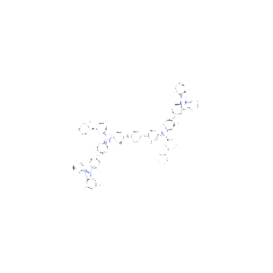 c1ccc(-c2cccc(N(c3ccc(-c4ccc(-c5ccc(N(c6ccc(-c7ccc8c(c7)c7ccccc7n8-c7ccccc7)cc6)c6cccc(-c7ccccc7)c6)cc5)cc4)cc3)c3ccc(-c4ccc5c(c4)c4ccccc4n5-c4ccccc4)cc3)c2)cc1